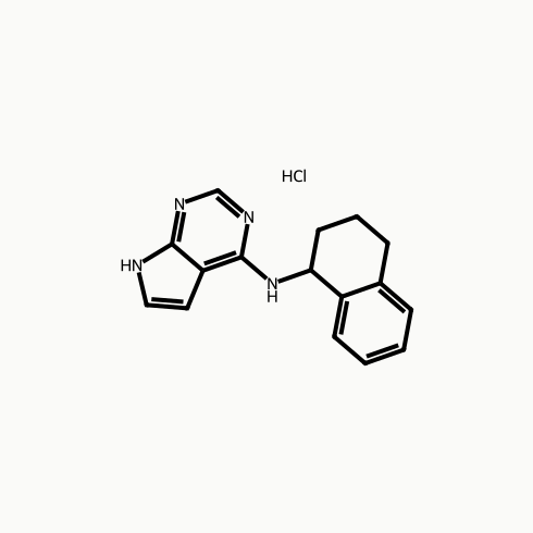 Cl.c1ccc2c(c1)CCCC2Nc1ncnc2[nH]ccc12